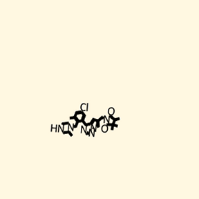 Cc1cc(Cl)cc(-c2ncnn3cc(CN4C(=O)C(C)C(C)(C)C4=O)cc23)c1CN1CCNCC1C